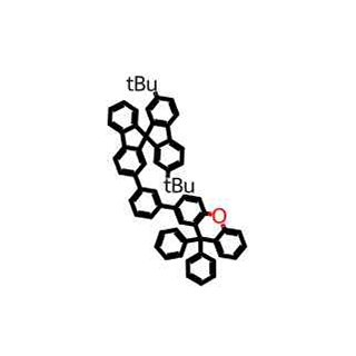 CC(C)(C)c1ccc2c(c1)C1(c3ccccc3-c3ccc(-c4cccc(-c5ccc6c(c5)C(c5ccccc5)(c5ccccc5)c5ccccc5O6)c4)cc31)c1cc(C(C)(C)C)ccc1-2